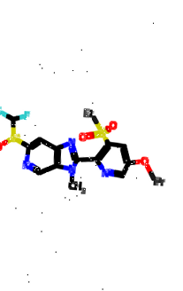 CCS(=O)(=O)c1cc(OC(C)C)cnc1-c1nc2cc([S+]([O-])C(F)F)ncc2n1C